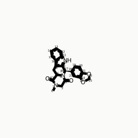 CN1CC(=O)N2C(Cc3c([nH]c4ccccc34)[C@H]2c2ccc3c(c2)OCO3)C1=O